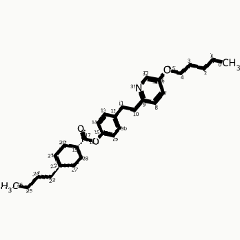 CCCCCOc1ccc(CCc2ccc(OC(=O)[C@H]3CC[C@H](CCCC)CC3)cc2)nc1